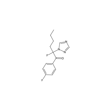 CCCCC(F)(C(=O)c1ccc(F)cc1)n1cncn1